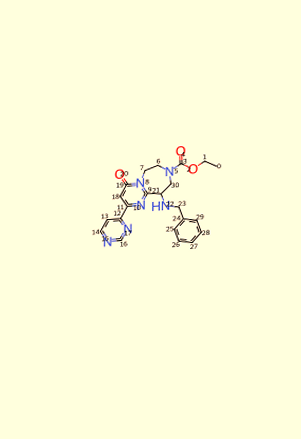 CCOC(=O)N1CCn2c(nc(-c3ccncn3)cc2=O)C(NCc2ccccc2)C1